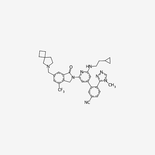 Cn1cnnc1-c1ccc(C#N)cc1-c1cc(NCCC2CC2)nc(N2Cc3c(cc(CN4CCC5(CCC5)C4)cc3C(F)(F)F)C2=O)c1